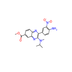 COC(=O)c1ccc2nc(-c3ccc(N)c([N+](=O)[O-])c3)c(N(C)C(C)C)nc2c1